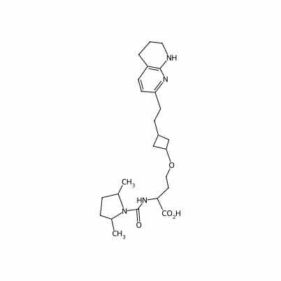 CC1CCC(C)N1C(=O)NC(CCOC1CC(CCc2ccc3c(n2)NCCC3)C1)C(=O)O